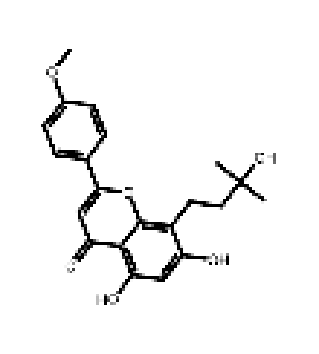 COc1ccc(-c2cc(=O)c3c(O)cc(O)c(CCC(C)(C)O)c3o2)cc1